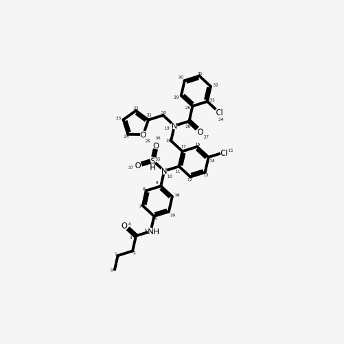 CCCC(=O)Nc1ccc(N(c2ccc(Cl)cc2CN(Cc2ccco2)C(=O)c2ccccc2Cl)[SH](=O)=O)cc1